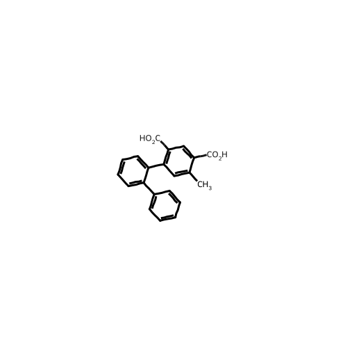 Cc1cc(-c2ccccc2-c2ccccc2)c(C(=O)O)cc1C(=O)O